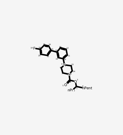 CCCCCC(CCC)OC(=O)N1CCN(c2cccc(-c3ccc(F)cc3)c2)CC1